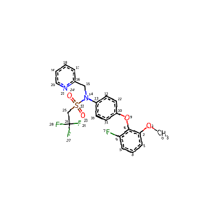 COc1cccc(F)c1Oc1ccc(N(Cc2ccccn2)S(=O)(=O)CC(F)(F)F)cc1